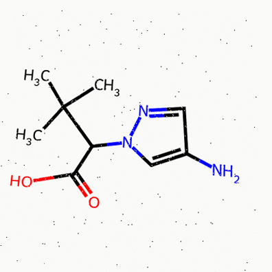 CC(C)(C)C(C(=O)O)n1cc(N)cn1